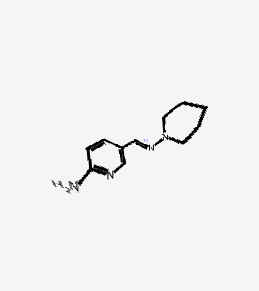 Nc1ccc(/C=N/N2CCCCC2)cn1